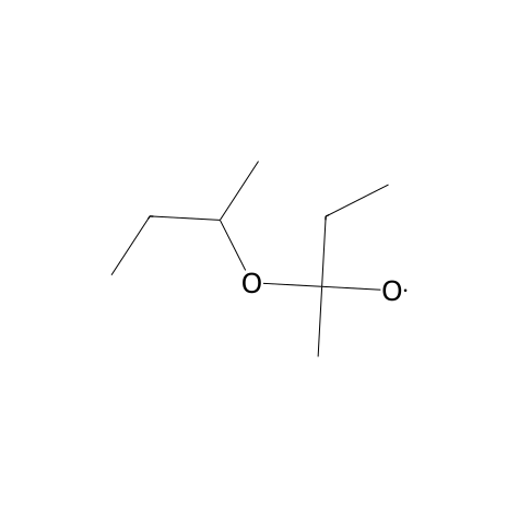 CCC(C)OC(C)([O])CC